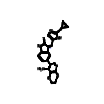 Cc1c(-c2ccc3c(c2)/C(=C/c2cnc(C4CC4)[nH]2)C(=O)N3)cnc2c1NCCO2